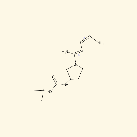 CC(C)(C)OC(=O)NC1CCN(/C(N)=C/C=C\N)C1